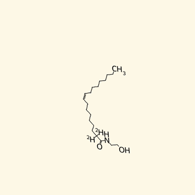 [2H]C([2H])(CCCCCC/C=C\CCCCCCCC)C(=O)NCCO